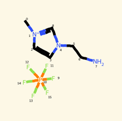 C[n+]1ccn(CCN)c1.F[P-](F)(F)(F)(F)F